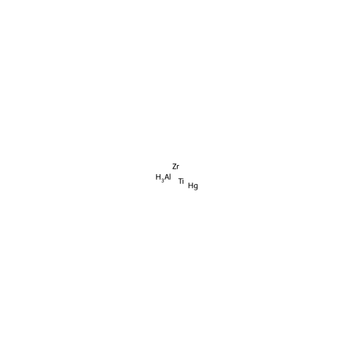 [AlH3].[Hg].[Ti].[Zr]